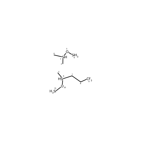 C[SiH](C)O[SiH3].C[SiH](CCC(F)(F)F)O[SiH3]